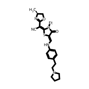 CCn1c(=C(C#N)C2=N[C@@H](C)CO2)sc(=CNc2ccc(CCN3CCCC3)cc2)c1=O